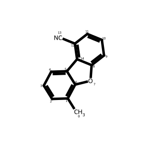 Cc1cccc2c1oc1cccc(C#N)c12